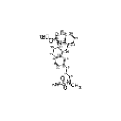 CCCS(=O)(=O)N(C)CCCc1ccc2c(c1)C(Cc1cccc(F)c1)C(NC(=O)OC(C)(C)C)CC2